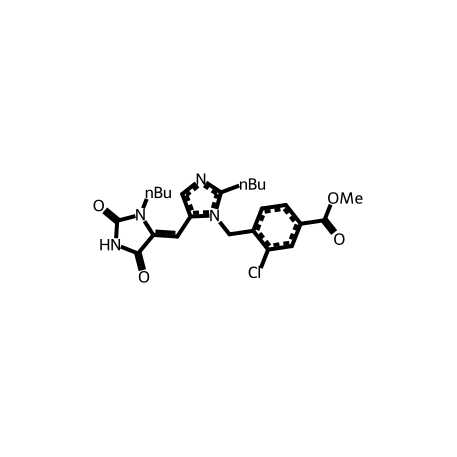 CCCCc1ncc(/C=C2/C(=O)NC(=O)N2CCCC)n1Cc1ccc(C(=O)OC)cc1Cl